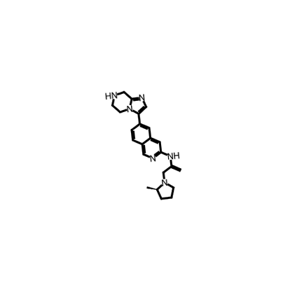 C=C(CN1CCC[C@H]1C)Nc1cc2cc(-c3cnc4n3CCNC4)ccc2cn1